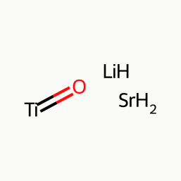 [LiH].[O]=[Ti].[SrH2]